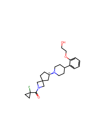 O=C(N1CC2(CC[C@@H](N3CCC(c4ccccc4OCCO)CC3)C2)C1)C1(F)CC1